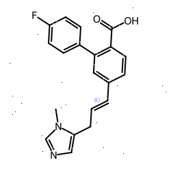 Cn1cncc1C/C=C/c1ccc(C(=O)O)c(-c2ccc(F)cc2)c1